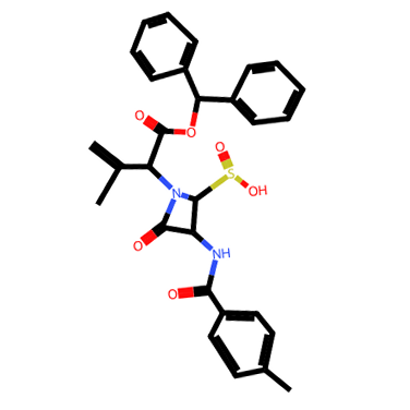 C=C(C)C(C(=O)OC(c1ccccc1)c1ccccc1)N1C(=O)C(NC(=O)c2ccc(C)cc2)C1S(=O)O